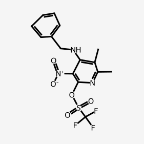 Cc1nc(OS(=O)(=O)C(F)(F)F)c([N+](=O)[O-])c(NCc2ccccc2)c1C